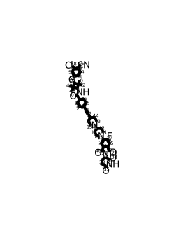 CC1(C)[C@H](NC(=O)c2ccc(C#CC3CCN(C4CCN(c5cc6c(cc5F)C(=O)N(C5CCC(=O)NC5=O)C6=O)CC4)CC3)cc2)C(C)(C)[C@H]1Oc1ccc(C#N)c(Cl)c1